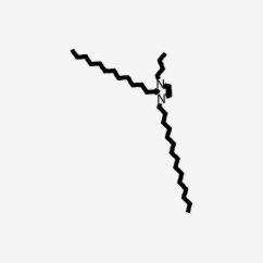 CCCCCCCCCCCCCCC[n+]1ccn(CCCC)c1CCCCCCCCCCCC